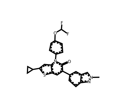 Cn1cc2cc(-c3cc4sc(C5CC5)cc4n(-c4ccc(OC(F)F)cc4)c3=O)ccc2n1